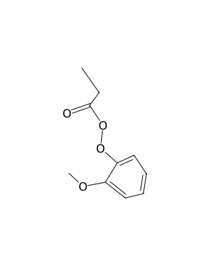 CCC(=O)OOc1ccccc1OC